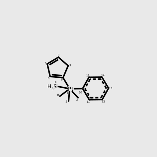 [CH3][Pt]([CH3])([CH3])([SiH3])([C]1=CC=CC1)[c]1ccccc1